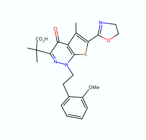 COc1ccccc1CCn1nc(C(C)(C)C(=O)O)c(=O)c2c(C)c(C3=NCCO3)sc21